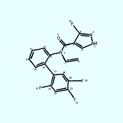 C=CN(C(=O)c1c[nH]nc1F)c1ccccc1-c1cc(F)c(F)cc1F